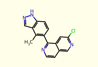 Cc1c(-c2nccc3cnc(Cl)cc23)ccc2[nH]ncc12